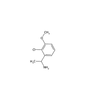 COc1cccc(C(C)N)c1Cl